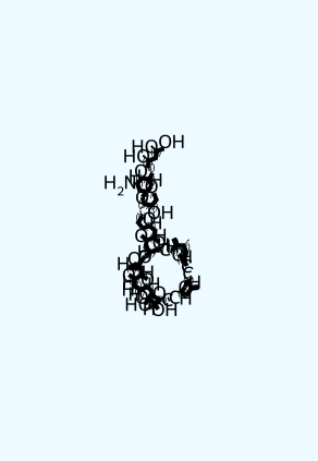 C=C1C[C@@H]2CC[C@]34OC5[C@@H]6O[C@H]7CC[C@H](CC(=O)O[C@@H]8CC9OC%10C[C@H](C[C@@H]%11O[C@@]%12(CC[C@@H]%11O)C[C@H](N)[C@@H]%11O[C@H]([C@@H](O)C[C@@H](O)CO)C[C@@H]%11O%12)O[C@@H]%10C[C@@H]9O[C@H]8C[C@H]8O[C@@H](CC[C@@H]1O2)C[C@@H](C)C8=C)O[C@@H]7[C@H](O3)[C@@H]6OC5(O)[C@H]4O